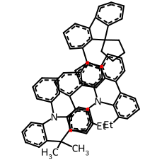 CCc1ccccc1N(c1ccccc1)c1c(CC)cccc1-c1cccc2c(-c3cccc4c3C3(CCCC3)c3ccccc3-4)c3cccc(-c4cccc5c4N(c4ccccc4)c4ccccc4C5(C)C)c3cc12